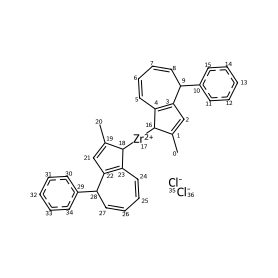 CC1=CC2=C(C=CC=CC2c2ccccc2)[CH]1[Zr+2][CH]1C(C)=CC2=C1C=CC=CC2c1ccccc1.[Cl-].[Cl-]